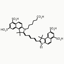 CC[N+]1=C(C=CC=CC=C2N(CCCCCC(=O)O)c3ccc4c(S(=O)(=O)O)cc(S(=O)(=O)O)cc4c3C2(C)C)C(C)(C)c2c1ccc1c(S(=O)(=O)O)cc(S(=O)(=O)O)cc21